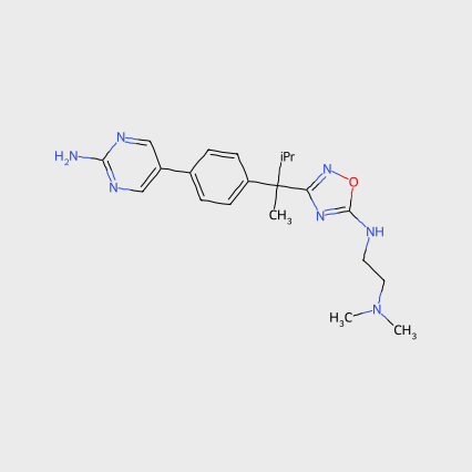 CC(C)C(C)(c1ccc(-c2cnc(N)nc2)cc1)c1noc(NCCN(C)C)n1